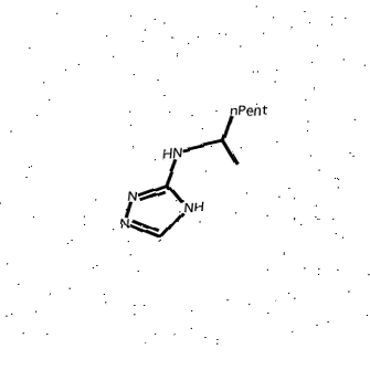 CCCCCC(C)Nc1nnc[nH]1